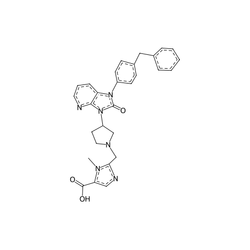 Cn1c(C(=O)O)cnc1CN1CCC(n2c(=O)n(-c3ccc(Cc4ccccc4)cc3)c3cccnc32)C1